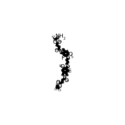 COc1cc2c(c(F)c1OCCCOc1c(OC)cc3c(c1F)CN(C(=O)CCC(=O)OC(C)(C)C)C3)CN(C(=O)CCC(=O)O[C@@H](C)CN)C2